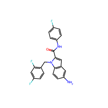 Nc1ccc2c(c1)cc(C(=O)Nc1ccc(F)cc1)n2Cc1ccc(F)cc1F